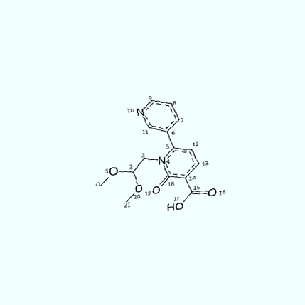 COC(Cn1c(-c2cccnc2)ccc(C(=O)O)c1=O)OC